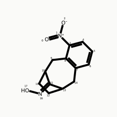 O=[N+]([O-])c1cccc2c1CC1CCC(C2)C1=NO